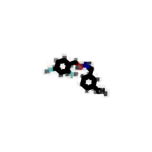 Cc1cccc(/[C]=N\OCc2ccc(F)cc2F)c1